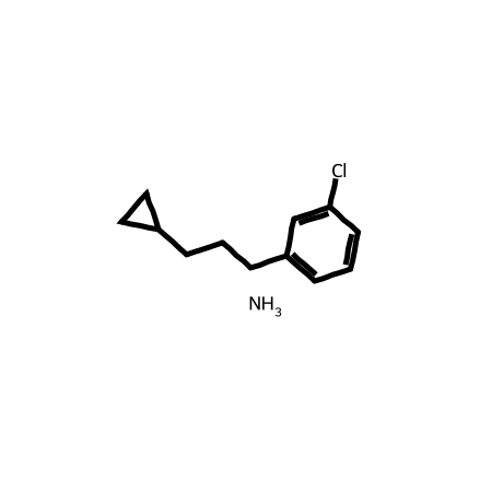 Clc1cccc(CCCC2CC2)c1.N